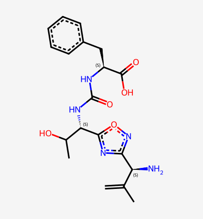 C=C(C)[C@H](N)c1noc([C@@H](NC(=O)N[C@@H](Cc2ccccc2)C(=O)O)C(C)O)n1